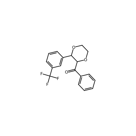 O=C(c1ccccc1)C1OCCOC1c1cccc(C(F)(F)F)c1